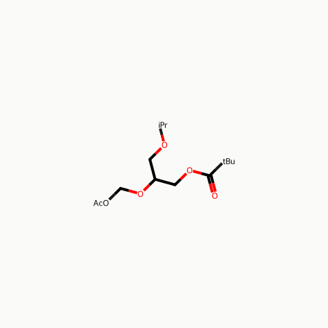 CC(=O)OCOC(COC(=O)C(C)(C)C)COC(C)C